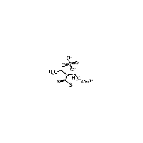 CCN(CC)C(=S)[S-].O=S(=O)([O-])[O-].[Mn+3]